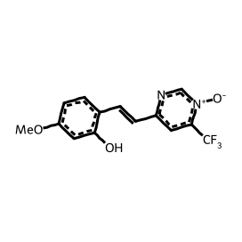 COc1ccc(C=Cc2cc(C(F)(F)F)[n+]([O-])cn2)c(O)c1